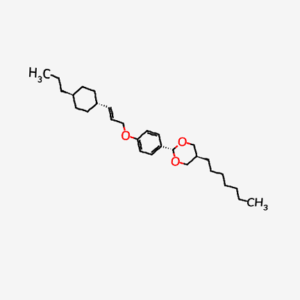 CCCCCCC[C@H]1CO[C@H](c2ccc(OCC=C[C@H]3CC[C@H](CCC)CC3)cc2)OC1